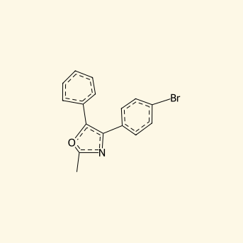 Cc1nc(-c2ccc(Br)cc2)c(-c2ccccc2)o1